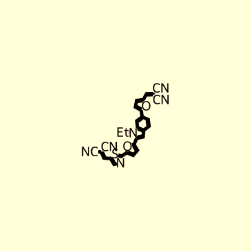 CCn1c(-c2ccc(-c3ncc(C=C(C#N)C#N)s3)o2)cc2ccc(-c3ccc(C=C(C#N)C#N)o3)cc21